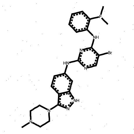 CN1CCN(c2n[nH]c3cc(Nc4ncc(Br)c(Nc5ccccc5P(C)C)n4)ccc23)CC1